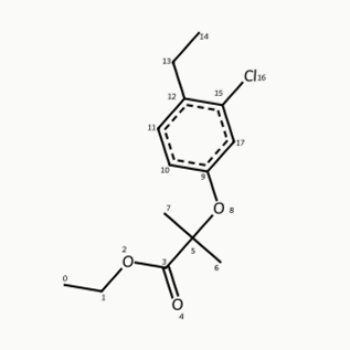 CCOC(=O)C(C)(C)Oc1ccc(CC)c(Cl)c1